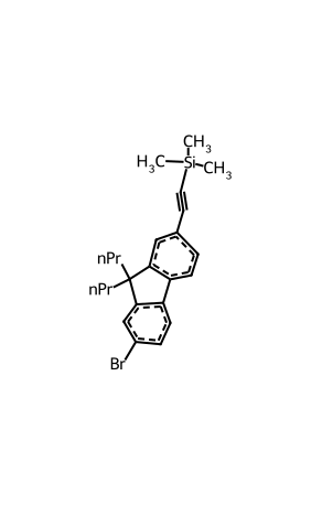 CCCC1(CCC)c2cc(Br)ccc2-c2ccc(C#C[Si](C)(C)C)cc21